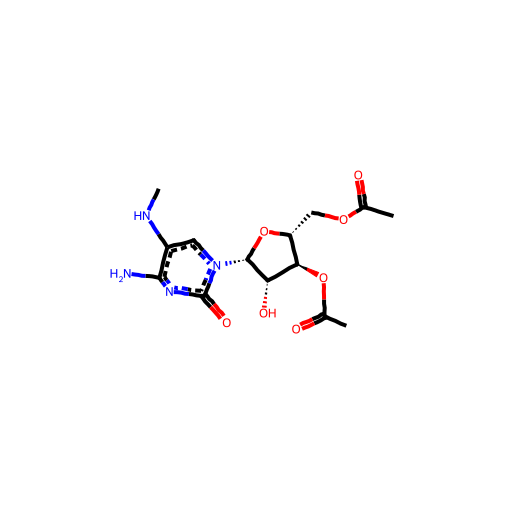 CNc1cn([C@@H]2O[C@H](COC(C)=O)[C@@H](OC(C)=O)[C@@H]2O)c(=O)nc1N